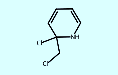 ClCC1(Cl)C=CC=CN1